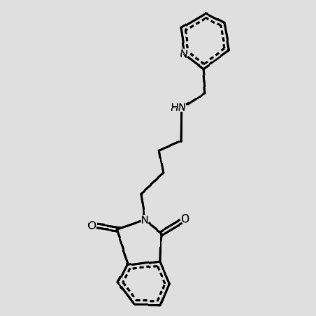 O=C1c2ccccc2C(=O)N1CCCCNCc1ccccn1